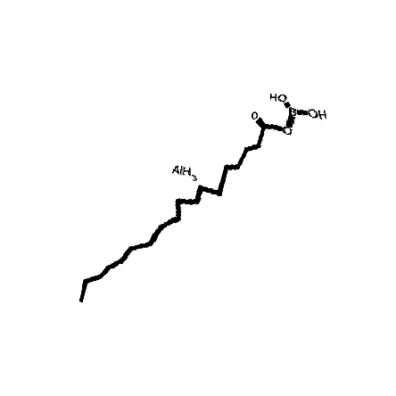 CCCCCCCCCCCCCCCCCC(=O)OB(O)O.[AlH3]